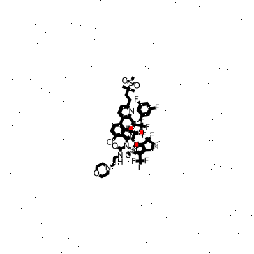 C[C@@H]1Cc2c(C(F)(F)F)nn(CC(=O)N[C@@H](Cc3cc(F)cc(F)c3)c3nc(CCC(C)(C)S(C)(=O)=O)ccc3-c3ccc(Cl)c4c(N(C(=O)NCCN5CCOCC5)S(C)(=O)=O)nn(CC(F)(F)F)c34)c2C1(F)F